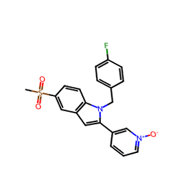 CS(=O)(=O)c1ccc2c(c1)cc(-c1ccc[n+]([O-])c1)n2Cc1ccc(F)cc1